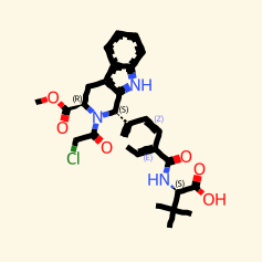 C=C(/C=C\C(=C/C)C(=O)N[C@H](C(=O)O)C(C)(C)C)[C@H]1c2[nH]c3ccccc3c2C[C@H](C(=O)OC)N1C(=O)CCl